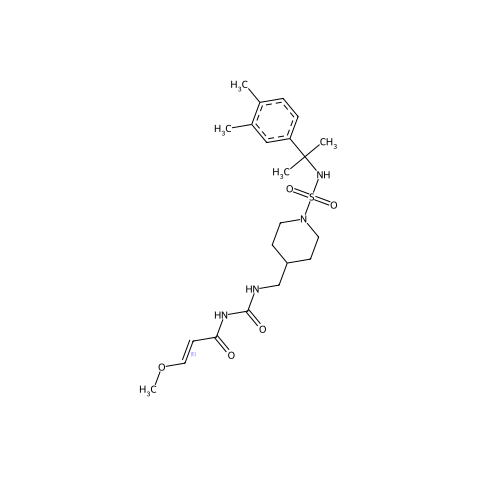 CO/C=C/C(=O)NC(=O)NCC1CCN(S(=O)(=O)NC(C)(C)c2ccc(C)c(C)c2)CC1